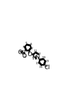 O=[N+]([O-])c1ccccc1Oc1ccn(-c2ccc(Cl)cc2)n1